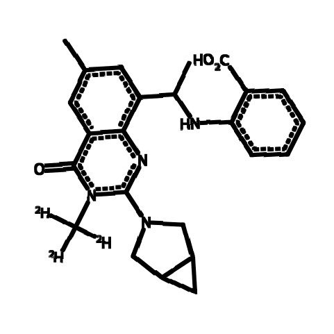 [2H]C([2H])([2H])n1c(N2CC3CC3C2)nc2c(C(C)Nc3ccccc3C(=O)O)cc(C)cc2c1=O